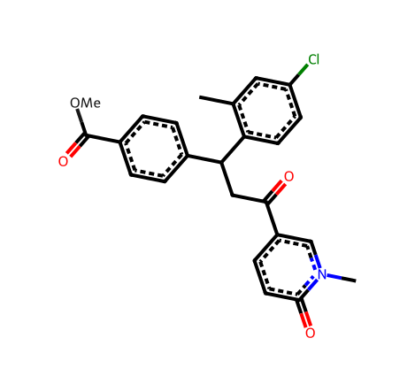 COC(=O)c1ccc(C(CC(=O)c2ccc(=O)n(C)c2)c2ccc(Cl)cc2C)cc1